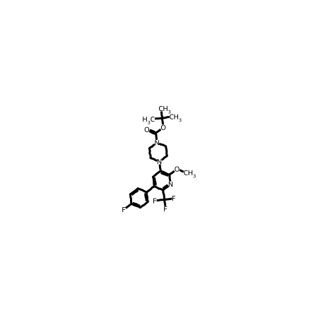 COc1nc(C(F)(F)F)c(-c2ccc(F)cc2)cc1N1CCN(C(=O)OC(C)(C)C)CC1